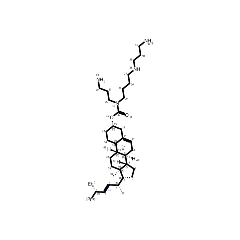 CC[C@H](/C=C/[C@@H](C)[C@H]1CC[C@H]2[C@@H]3CC=C4C[C@@H](OC(=O)N(CCCN)CCCCNCCCN)CC[C@]4(C)[C@H]3CC[C@]12C)C(C)C